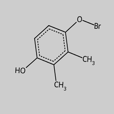 Cc1c(O)ccc(OBr)c1C